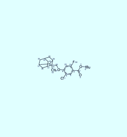 CC(C)(C)OC(=O)c1cc(Cl)c(OCC2(C#N)C3CC4CC(C3)CC2C4)cc1F